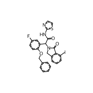 O=C(Nc1nccs1)C(c1cc(F)ccc1OCc1ccccc1)N1Cc2cccc(I)c2C1=O